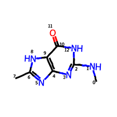 CNc1nc2nc(C)[nH]c2c(=O)[nH]1